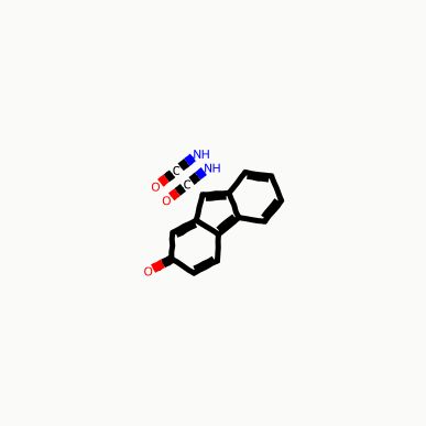 N=C=O.N=C=O.O=C1C=CC2=c3ccccc3=CC2=C1